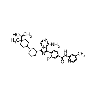 C=C(O)C1(C)CCC(N2CCC[C@@H](c3nc(-c4ccc(C(=O)Nc5cc(C(F)(F)F)ccn5)cc4F)c4c(N)nccn34)C2)CC1